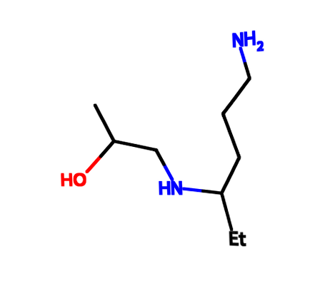 CCC(CCCN)NCC(C)O